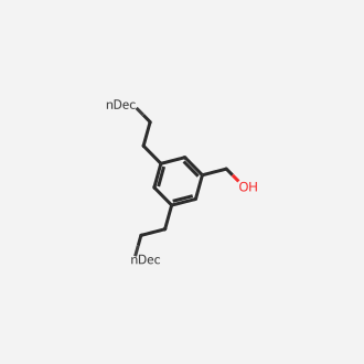 CCCCCCCCCCCCc1cc(CO)cc(CCCCCCCCCCCC)c1